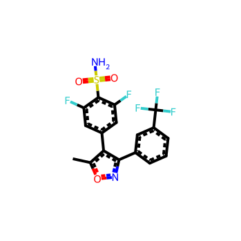 Cc1onc(-c2cccc(C(F)(F)F)c2)c1-c1cc(F)c(S(N)(=O)=O)c(F)c1